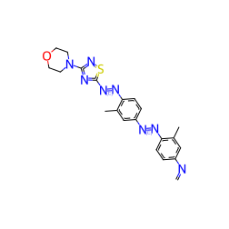 C=Nc1ccc(/N=N/c2ccc(/N=N/c3nc(N4CCOCC4)ns3)c(C)c2)c(C)c1